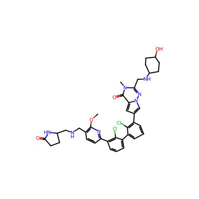 COc1nc(-c2cccc(-c3cccc(-c4cc5c(=O)n(C)c(CNC6CCC(O)CC6)nn5c4)c3Cl)c2Cl)ccc1CNCC1CCC(=O)N1